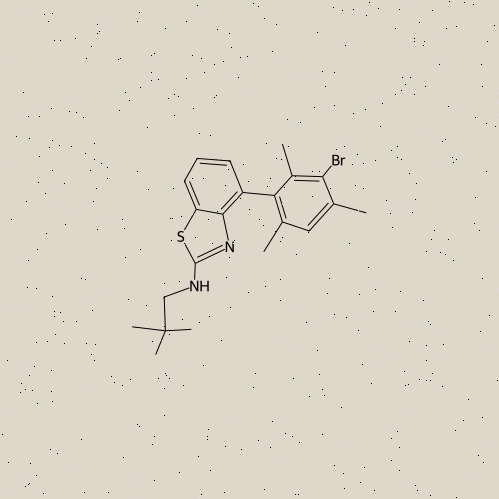 Cc1cc(C)c(-c2cccc3sc(NCC(C)(C)C)nc23)c(C)c1Br